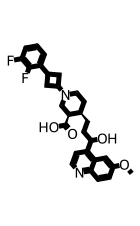 COc1ccc2nccc(C(O)CC[C@@H]3CCN(C4CC(c5cccc(F)c5F)C4)C[C@@H]3C(=O)O)c2c1